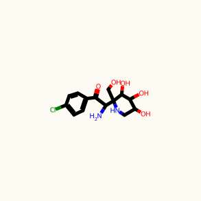 NC(C(=O)c1ccc(Cl)cc1)C1(CO)NCC(O)C(O)C1O